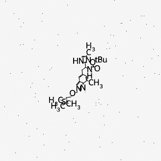 Cc1c[nH]c(C(Cc2cc(C)c3nn(COCC[Si](C)(C)C)cc3c2)NC(=O)OC(C)(C)C)n1